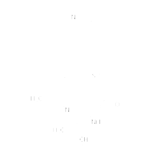 CCN1c2cc(-c3ccncc3)sc2C(=O)NC1(C)C